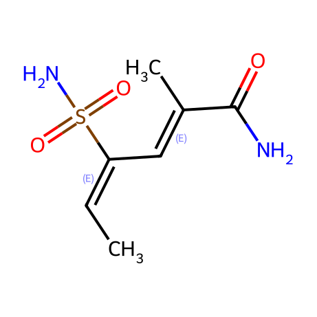 C/C=C(\C=C(/C)C(N)=O)S(N)(=O)=O